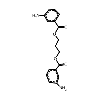 Nc1cccc(C(=O)OCCCOC(=O)c2cccc(N)c2)c1